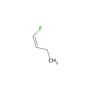 CC/C=C\F